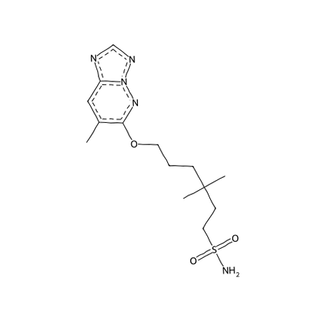 Cc1cc2ncnn2nc1OCCCC(C)(C)CCS(N)(=O)=O